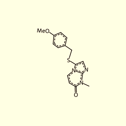 COc1ccc(CSc2cnc3n(C)c(=O)ccn23)cc1